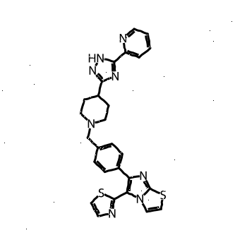 c1ccc(-c2nc(C3CCN(Cc4ccc(-c5nc6sccn6c5-c5nccs5)cc4)CC3)n[nH]2)nc1